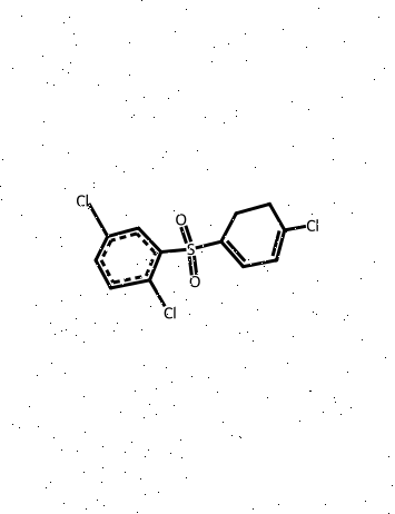 O=S(=O)(C1=CC=C(Cl)CC1)c1cc(Cl)ccc1Cl